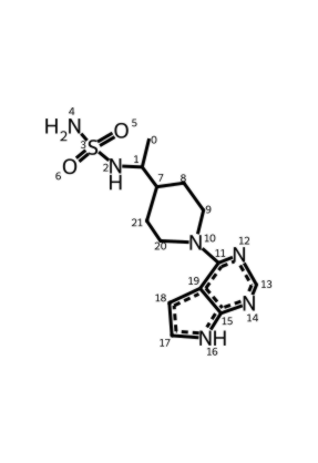 CC(NS(N)(=O)=O)C1CCN(c2ncnc3[nH]ccc23)CC1